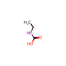 CCPC(=O)O